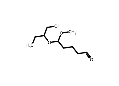 CCC(CO)OC(CCCC=O)OC